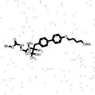 CCCCN(C(=O)ONC(=O)OC(C)(C)C)C(N)(Cc1ccc(-c2ccc(OCCCCOC)cc2)cc1)C(C)(O)O